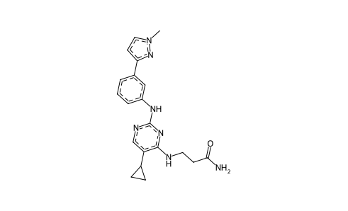 Cn1ccc(-c2cccc(Nc3ncc(C4CC4)c(NCCC(N)=O)n3)c2)n1